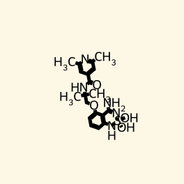 Cc1cc(C(=O)NC(C)(C)COc2cccc3c2C(N)=NS(O)(O)N3)cc(C)n1